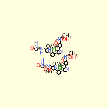 COc1nc(-c2cccc(-c3ccnc(-c4ccc5c(c4)OCCN(C[C@H](C)O)C5)c3Cl)c2Cl)ccc1CN(C[C@@H]1CCC(=O)N1)C(=O)OC(C)(C)C.COc1nc(-c2cccc(-c3ccnc(-c4ccc5c(c4)OCCN(C[C@H](C)O)C5)c3Cl)c2Cl)ccc1CNC[C@@H]1CCC(=O)N1